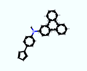 CN(c1ccc(C2=C=CC=C2)cc1)c1ccc2c3ccccc3c3ccccc3c2c1